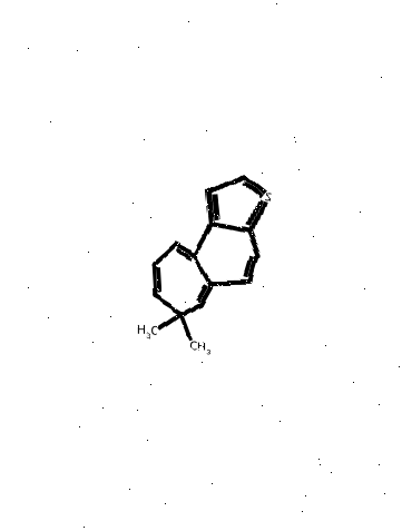 CC1(C)C=CC=c2c(ccc3c2=CC=S=3)=C1